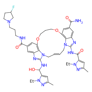 CCn1nc(C)cc1C(=O)Nc1nc2cc(C(N)=O)cc3c2n1C/C=C/Cn1c(NC(O)c2cc(C)nn2CC)nc2cc(C(=O)NCCCN4CCC(F)C4)cc(c21)OCCCO3